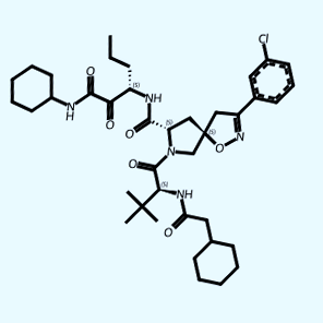 CCC[C@H](NC(=O)[C@@H]1C[C@]2(CC(c3cccc(Cl)c3)=NO2)CN1C(=O)[C@@H](NC(=O)CC1CCCCC1)C(C)(C)C)C(=O)C(=O)NC1CCCCC1